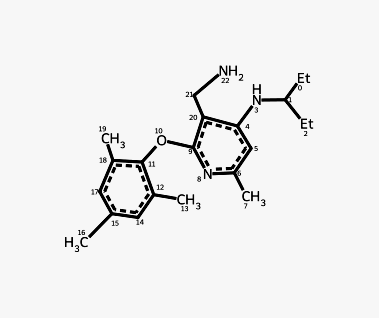 CCC(CC)Nc1cc(C)nc(Oc2c(C)cc(C)cc2C)c1CN